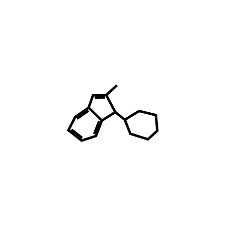 CC1=Cc2ccccc2C1C1CCCCC1